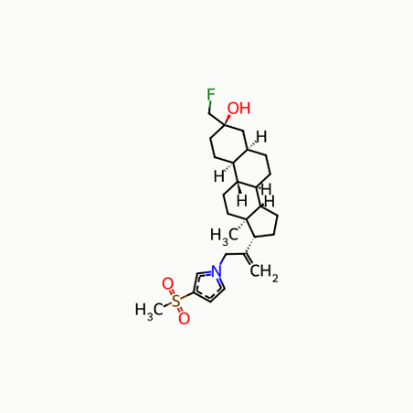 C=C(Cn1ccc(S(C)(=O)=O)c1)[C@H]1CC[C@H]2[C@@H]3CC[C@@H]4C[C@@](O)(CF)CC[C@@H]4[C@H]3CC[C@]12C